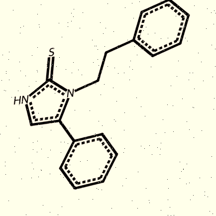 S=c1[nH]cc(-c2ccccc2)n1CCc1ccccc1